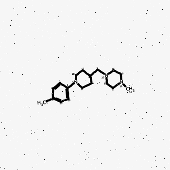 Cc1ccc(N2CCC(CN3CCN(C)CC3)CC2)cc1